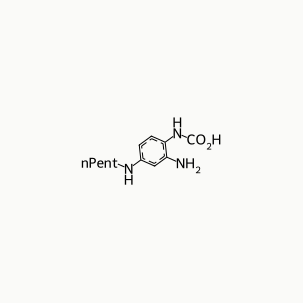 CCCCCNc1ccc(NC(=O)O)c(N)c1